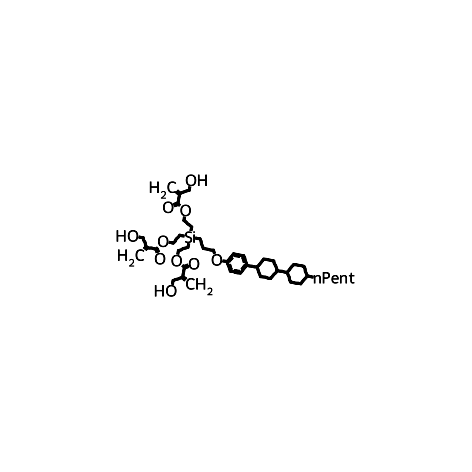 C=C(CO)C(=O)OCC[Si](CCCOc1ccc(C2CCC(C3CCC(CCCCC)CC3)CC2)cc1)(CCOC(=O)C(=C)CO)CCOC(=O)C(=C)CO